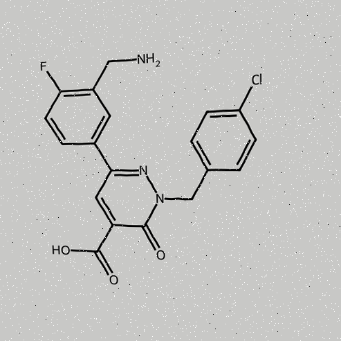 NCc1cc(-c2cc(C(=O)O)c(=O)n(Cc3ccc(Cl)cc3)n2)ccc1F